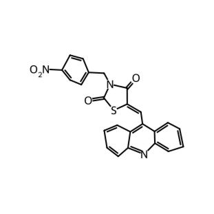 O=C1SC(=Cc2c3ccccc3nc3ccccc23)C(=O)N1Cc1ccc([N+](=O)[O-])cc1